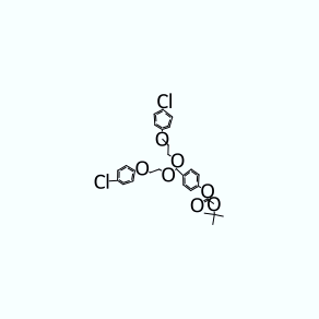 CC(C)(C)OC(=O)Oc1ccc(C(OCCOc2ccc(Cl)cc2)OCCOc2ccc(Cl)cc2)cc1